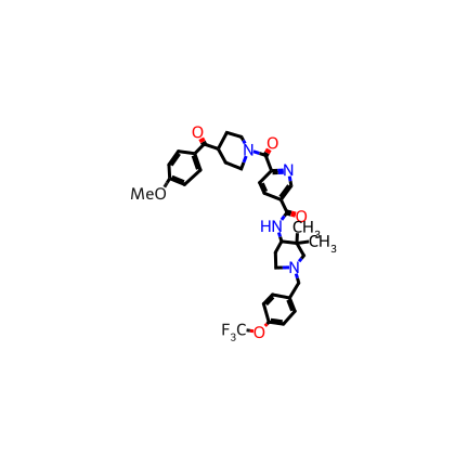 COc1ccc(C(=O)C2CCN(C(=O)c3ccc(C(=O)NC4CCN(Cc5ccc(OC(F)(F)F)cc5)CC4(C)C)cn3)CC2)cc1